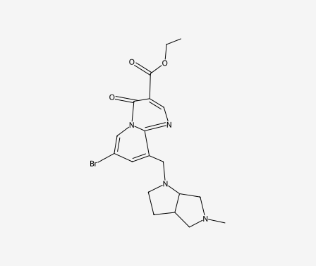 CCOC(=O)c1cnc2c(CN3CCC4CN(C)CC43)cc(Br)cn2c1=O